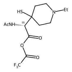 CCN1CCC(S)([C@@H](NC(C)=O)C(=O)OC(=O)C(F)(F)F)CC1